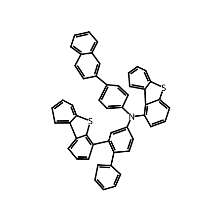 c1ccc(-c2ccc(N(c3ccc(-c4ccc5ccccc5c4)cc3)c3cccc4sc5ccccc5c34)cc2-c2cccc3c2sc2ccccc23)cc1